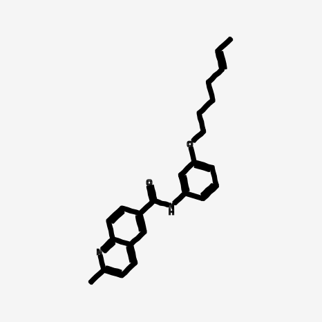 CC=CCCCCOc1cccc(NC(=O)c2ccc3nc(C)ccc3c2)c1